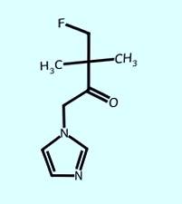 CC(C)(CF)C(=O)Cn1ccnc1